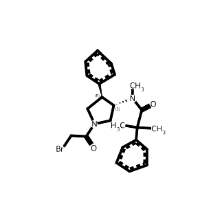 CN(C(=O)C(C)(C)c1ccccc1)[C@@H]1CN(C(=O)CBr)C[C@H]1c1ccccc1